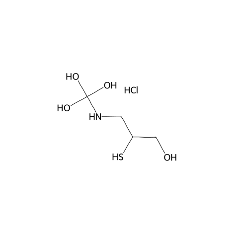 Cl.OCC(S)CNC(O)(O)O